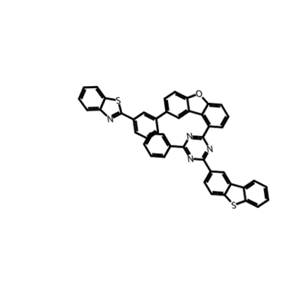 c1ccc(-c2nc(-c3ccc4sc5ccccc5c4c3)nc(-c3cccc4oc5ccc(-c6cccc(-c7nc8ccccc8s7)c6)cc5c34)n2)cc1